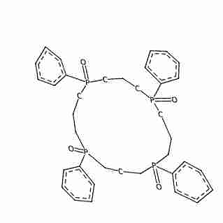 O=P1(c2ccccc2)CCCP(=O)(c2ccccc2)CCCP(=O)(c2ccccc2)CCCP(=O)(c2ccccc2)CCC1